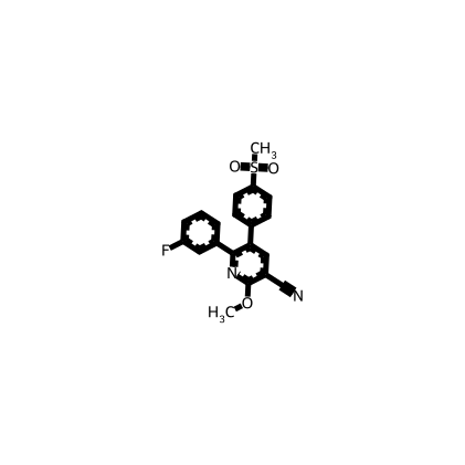 COc1nc(-c2cccc(F)c2)c(-c2ccc(S(C)(=O)=O)cc2)cc1C#N